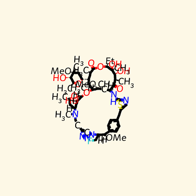 CC[C@H]1OC(=O)[C@H](C)C([C@H]2C[C@@](C)(OC)[C@@H](O)[C@H](C)O2)[C@H](C)[C@H]2O[C@@H]3O[C@H](C)C[C@@H]([C@H]3O)N(C)CCc3cn(nn3)[C@H](CF)[C@H](OC)c3ccc(cc3)-c3cnc(s3)N[C@H](C[C@@]2(C)OC)C(=O)[C@H](C)[C@@H](O)[C@]1(C)O